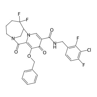 O=C(NCc1ccc(F)c(Cl)c1F)c1cn2c(c(OCc3ccccc3)c1=O)C(=O)N1CCCC(F)(F)C2C1